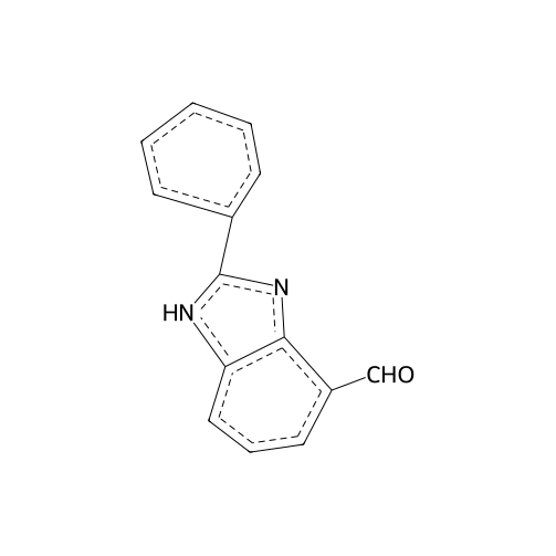 O=Cc1cccc2[nH]c(-c3ccccc3)nc12